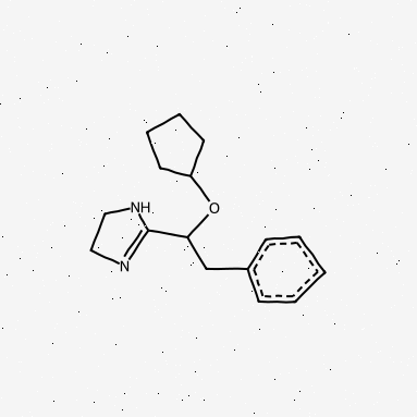 c1ccc(CC(OC2CCCC2)C2=NCCN2)cc1